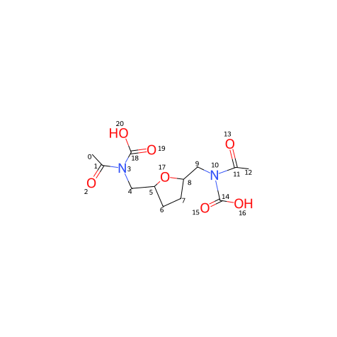 CC(=O)N(CC1CCC(CN(C(C)=O)C(=O)O)O1)C(=O)O